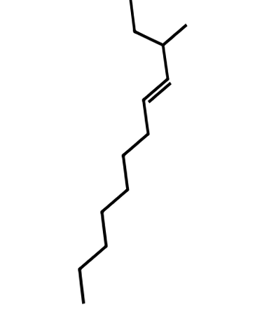 CCCCCCCC=CC(C)CC